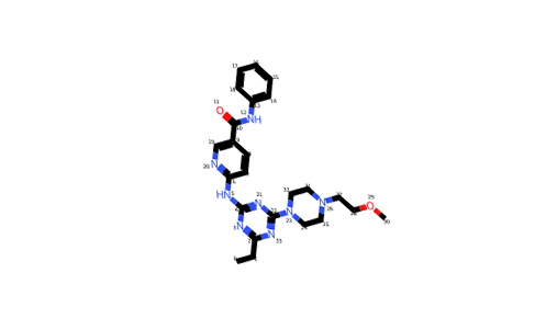 CCc1nc(Nc2ccc(C(=O)Nc3ccccc3)cn2)nc(N2CCN(CCOC)CC2)n1